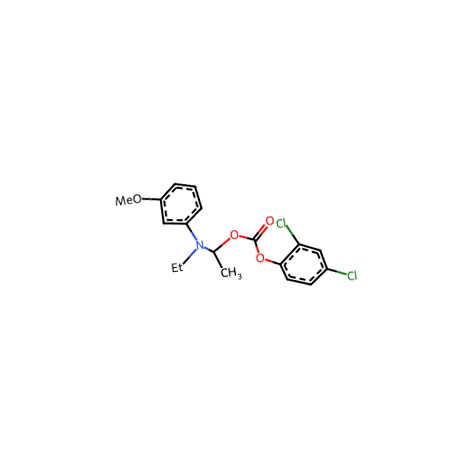 CCN(c1cccc(OC)c1)C(C)OC(=O)Oc1ccc(Cl)cc1Cl